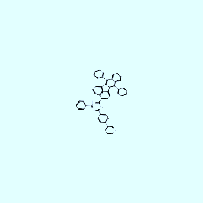 c1ccc(-c2nc(-c3ccc(-c4cccnc4)cc3)nc(-c3ccc4c5c(cccc35)-c3c-4c(-c4ccccc4)c4ccccc4c3-c3ccccc3)n2)cc1